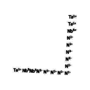 [N-3].[N-3].[N-3].[N-3].[N-3].[N-3].[N-3].[N-3].[N-3].[N-3].[Nb+5].[Nb+5].[Nb+5].[Ta+5].[Ta+5].[Ta+5]